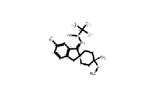 CO[C@]1(C)CC[C@@]2(CC1)Cc1ccc(Br)cc1/C2=N\[S+]([O-])C(C)(C)C